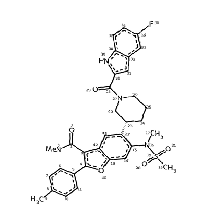 CNC(=O)c1c(-c2ccc(C)cc2)oc2cc(N(C)S(C)(=O)=O)c([C@H]3CCCN(C(=O)c4cc5cc(F)ccc5[nH]4)C3)cc12